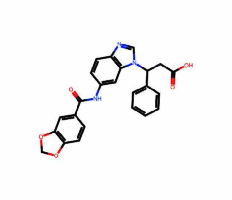 O=C(O)CC(c1ccccc1)n1cnc2ccc(NC(=O)c3ccc4c(c3)OCO4)cc21